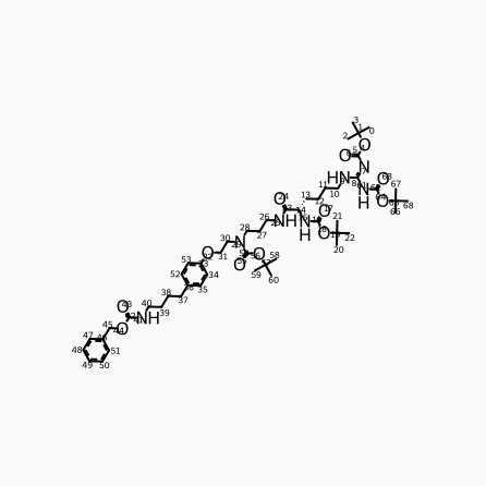 CC(C)(C)OC(=O)/N=C(\NCCCC[C@H](NC(=O)OC(C)(C)C)C(=O)NCCCN(CCOc1ccc(CCCCNC(=O)OCc2ccccc2)cc1)C(=O)OC(C)(C)C)NC(=O)OC(C)(C)C